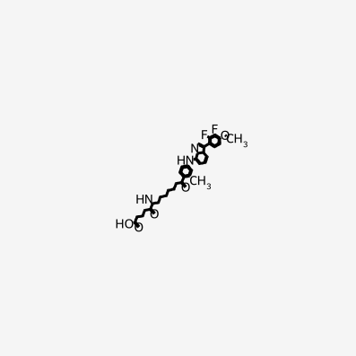 COc1ccc(C2=CN=C3C(Nc4ccc(C(=O)CCCCCCC(=N)C(=O)CCCC(=O)O)c(C)c4)=CC=CC23)c(F)c1F